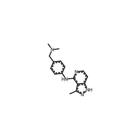 Cc1n[nH]c2ccnc(Nc3ccc(CN(C)C)cc3)c12